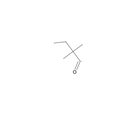 CCC(C)(C)[C]=O